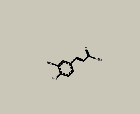 CC(C)COC(=O)/C=C/c1ccc(O)c(O)c1